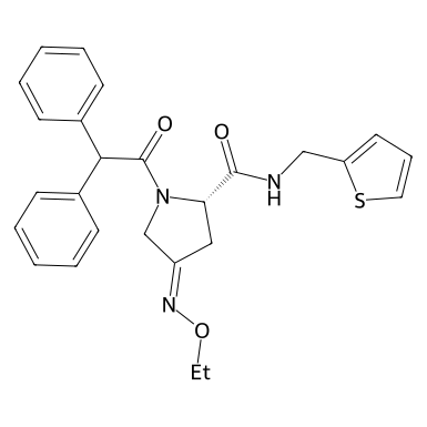 CCO/N=C1\C[C@@H](C(=O)NCc2cccs2)N(C(=O)C(c2ccccc2)c2ccccc2)C1